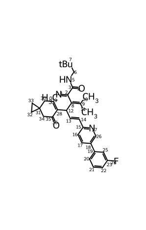 C/N=C(/C(=O)NCC(C)(C)C)C(=C(C)C)C(/C=C/c1ccc(-c2cccc(F)c2)cn1)C1=CCC2(CC2)CC1=O